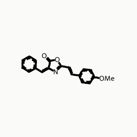 COc1ccc(C=CC2=NC(=Cc3ccccc3)C(=O)O2)cc1